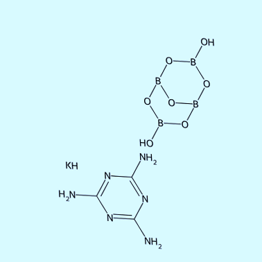 Nc1nc(N)nc(N)n1.OB1OB2OB(O)OB(O1)O2.[KH]